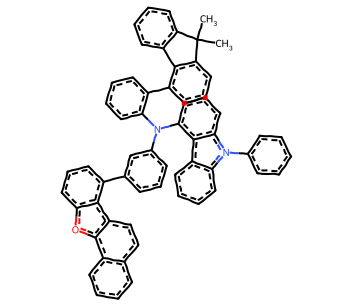 CC1(C)c2ccccc2-c2c(-c3ccccc3N(c3cccc(-c4cccc5oc6c7ccccc7ccc6c45)c3)c3cccc4c3c3ccccc3n4-c3ccccc3)cccc21